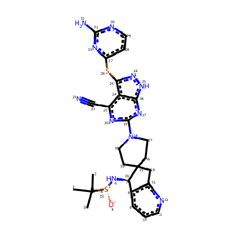 CC(C)(C)[S@@+]([O-])N[C@@H]1c2cccnc2CC12CCN(c1nc(C#N)c3c(Sc4ccnc(N)n4)n[nH]c3n1)CC2